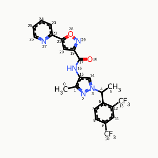 Cc1nn(C(C)c2ccc(C(F)(F)F)cc2C(F)(F)F)cc1NC(=O)c1cc(-c2ccccn2)on1